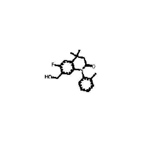 Cc1ccccc1N1C(=O)CC(C)(C)c2cc(F)c(CO)cc21